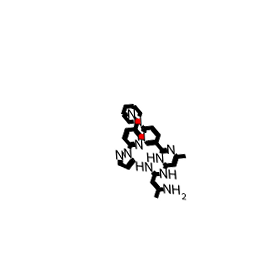 CC1=CC(NC(=N)/C=C(/C)N)NC(c2ccc(N3CC4CC(C3)N4Cc3ccc(-n4cccn4)nc3)nc2)=N1